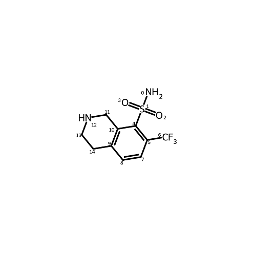 NS(=O)(=O)c1c(C(F)(F)F)ccc2c1CNCC2